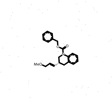 COCC=C[C@H]1Cc2ccccc2N(C(=O)OCc2ccccc2)C1